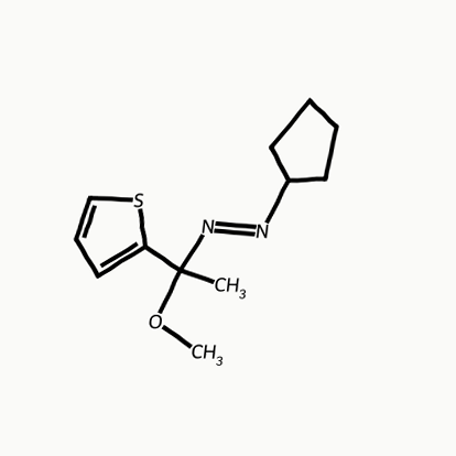 COC(C)(N=NC1CCCC1)c1cccs1